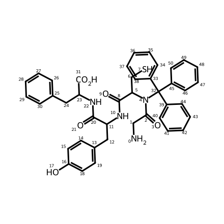 NCC(=O)N(C(CS)C(=O)NC(Cc1ccc(O)cc1)C(=O)NC(Cc1ccccc1)C(=O)O)C(c1ccccc1)(c1ccccc1)c1ccccc1